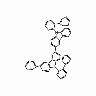 c1ccc(-c2ccc3c(c2)c2cc(-c4ccc5c(c4)c4ccccc4n5-c4ccccc4-c4ccccc4)ccc2n3-c2ccccc2-c2ccccc2)cc1